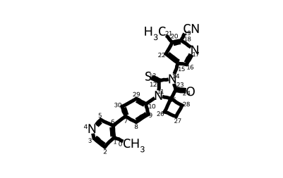 Cc1ccncc1-c1ccc(N2C(=S)N(c3cnc(C#N)c(C)c3)C(=O)C23CCC3)cc1